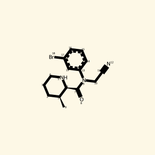 C[C@H]1CCCN[C@H]1C(=O)N(CC#N)c1cccc(Br)c1